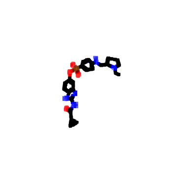 CCN1CCCC1CNc1ccc(S(=O)(=O)Oc2ccc3[nH]c(NC(=O)C4CC4)nc3c2)cc1